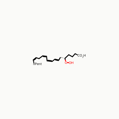 CCCCC/C=C\C\C=C/C=C\C=C\C[C@H](CCCC(=O)O)OO